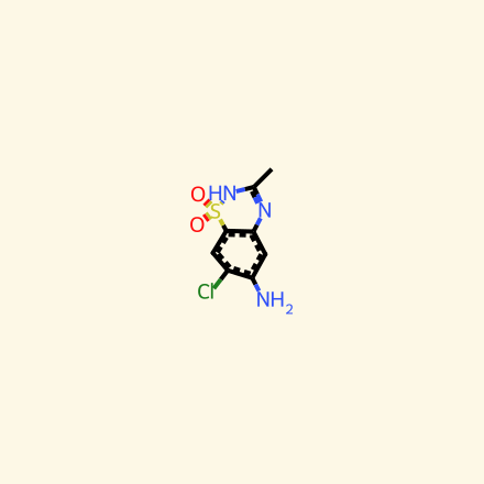 CC1=Nc2cc(N)c(Cl)cc2S(=O)(=O)N1